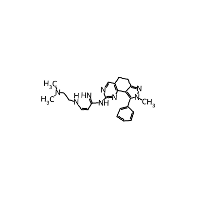 CN(C)CCN/C=C\C(=N)Nc1ncc2c(n1)-c1c(nn(C)c1-c1ccccc1)CC2